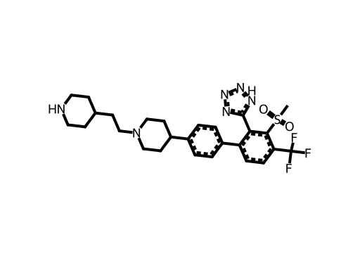 CS(=O)(=O)c1c(C(F)(F)F)ccc(-c2ccc(C3CCN(CCC4CCNCC4)CC3)cc2)c1-c1nnn[nH]1